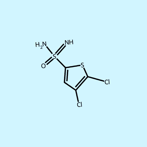 N=S(N)(=O)c1cc(Cl)c(Cl)s1